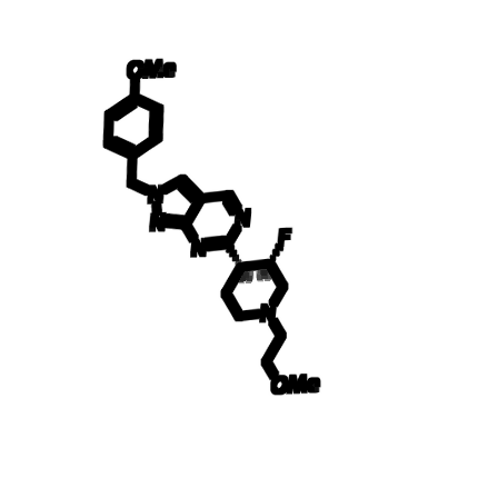 COCCN1CC[C@H](c2ncc3cn(Cc4ccc(OC)cc4)nc3n2)[C@H](F)C1